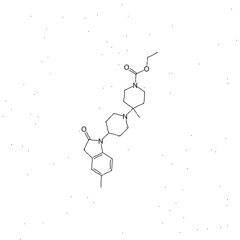 CCOC(=O)N1CCC(C)(N2CCC(N3C(=O)Cc4cc(C)ccc43)CC2)CC1